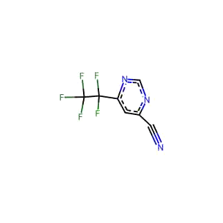 N#Cc1cc(C(F)(F)C(F)(F)F)ncn1